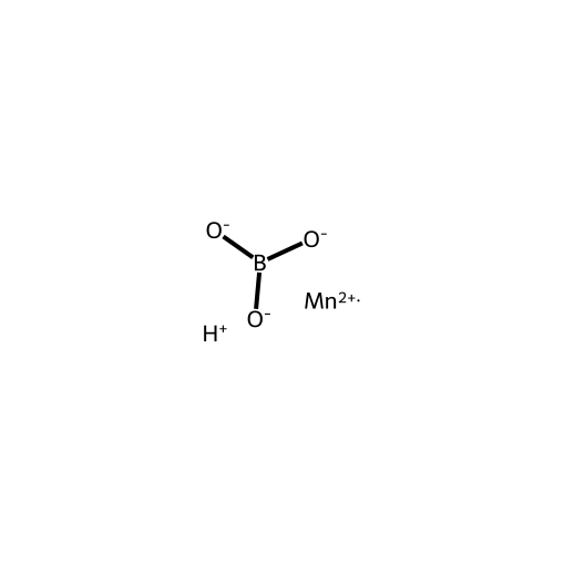 [H+].[Mn+2].[O-]B([O-])[O-]